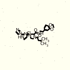 CC(C)CC(=O)N1CCN(C2(Cl)C=CNC(n3ccnc3)=N2)CC1C(=O)NCCc1ccc2c(c1)OCCO2